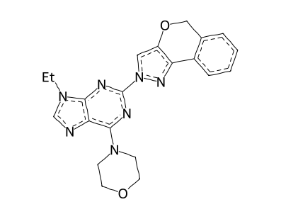 CCn1cnc2c(N3CCOCC3)nc(-n3cc4c(n3)-c3ccccc3CO4)nc21